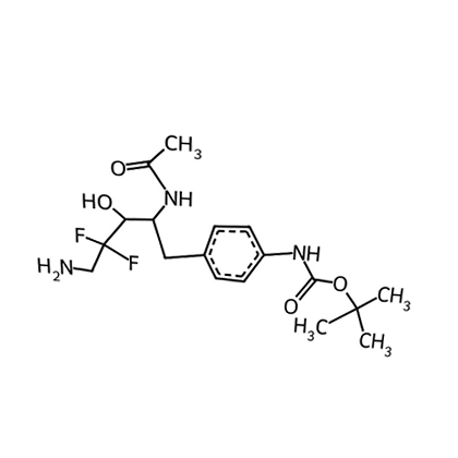 CC(=O)NC(Cc1ccc(NC(=O)OC(C)(C)C)cc1)C(O)C(F)(F)CN